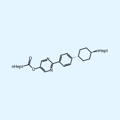 CCCCCCCC(=O)Oc1cnc(-c2ccc([C@H]3CC[C@H](CCCCCCC)CC3)cc2)nc1